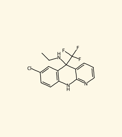 CCNC1(C(F)(F)F)c2cc(Cl)ccc2Nc2ncccc21